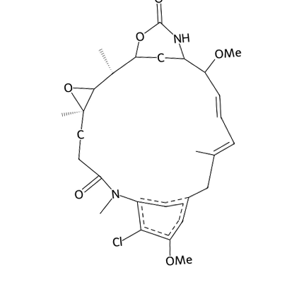 COc1cc2cc(c1Cl)N(C)C(=O)CC[C@@]1(C)OC1[C@H](C)C1CC(NC(=O)O1)C(OC)/C=C/C=C(\C)C2